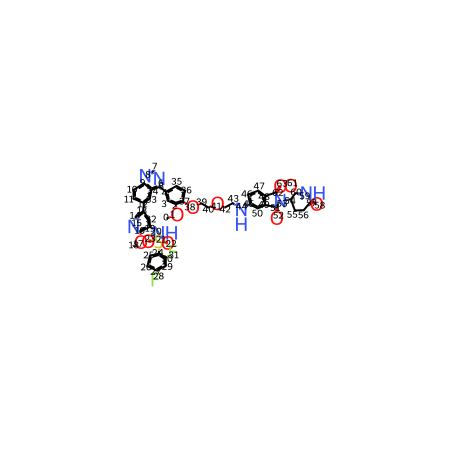 COc1cc(-c2ncnc3ccc(-c4cnc(OC)c(NS(=O)(=O)c5ccc(F)cc5F)c4)cc23)ccc1OCCOCCNc1ccc2c(c1)C(=O)N(C1CCC(=O)NC1=O)C2=O